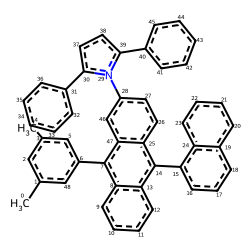 Cc1cc(C)cc(-c2c3ccccc3c(-c3cccc4ccccc34)c3ccc(-n4c(-c5ccccc5)ccc4-c4ccccc4)cc23)c1